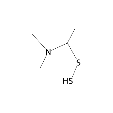 CC(SS)N(C)C